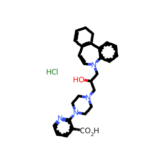 Cl.O=C(O)c1cccnc1N1CCN(CC(O)CN2C=CC3=C(CCC=C3)c3ccccc32)CC1